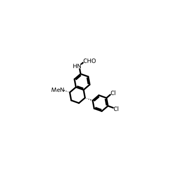 CN[C@H]1CC[C@@H](c2ccc(Cl)c(Cl)c2)c2ccc(NC=O)cc21